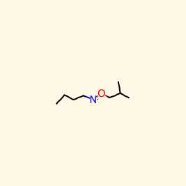 CCCC[N]OCC(C)C